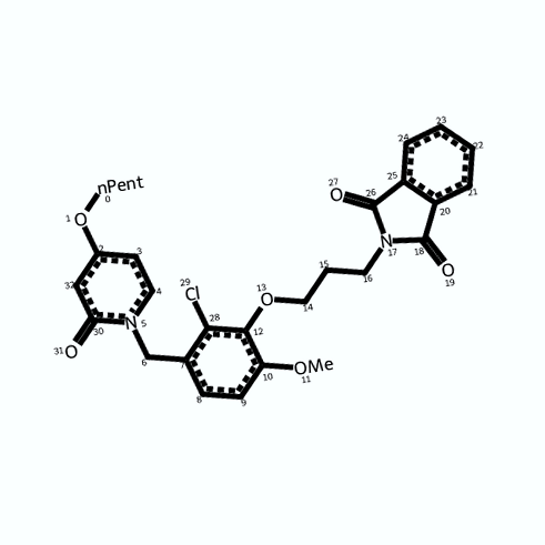 CCCCCOc1ccn(Cc2ccc(OC)c(OCCCN3C(=O)c4ccccc4C3=O)c2Cl)c(=O)c1